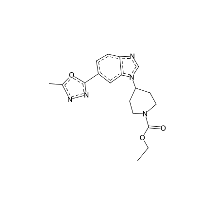 CCOC(=O)N1CCC(n2cnc3ccc(-c4nnc(C)o4)cc32)CC1